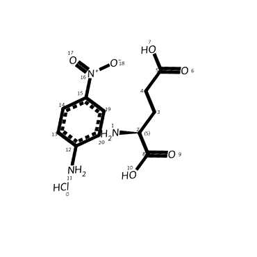 Cl.N[C@@H](CCC(=O)O)C(=O)O.Nc1ccc([N+](=O)[O-])cc1